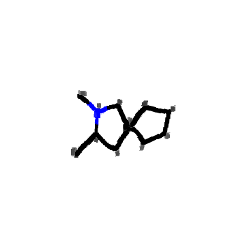 CC1C[Si]2(CCCC2)CN1C